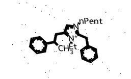 CCCCCn1cc(CC(C)c2ccccc2)[n+](CC)c1Cc1ccccc1